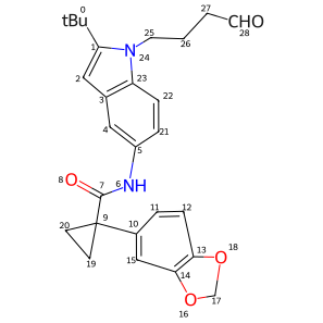 CC(C)(C)c1cc2cc(NC(=O)C3(c4ccc5c(c4)OCO5)CC3)ccc2n1CCCC=O